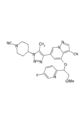 COCC(Oc1cc(-c2nnn(C3CCN(C#N)CC3)c2C)cn2ncc(C#N)c12)c1ccc(F)cn1